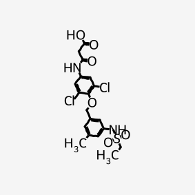 CCS(=O)(=O)Nc1cc(C)cc(COc2c(Cl)cc(NC(=O)CC(=O)O)cc2Cl)c1